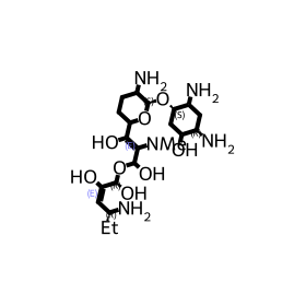 CC[C@@H](N)/C=C(/O)[C@H](O)OC(O)/C(NC)=C(\O)C1CCC(N)[C@@H](O[C@H]2CC(O)[C@H](N)CC2N)O1